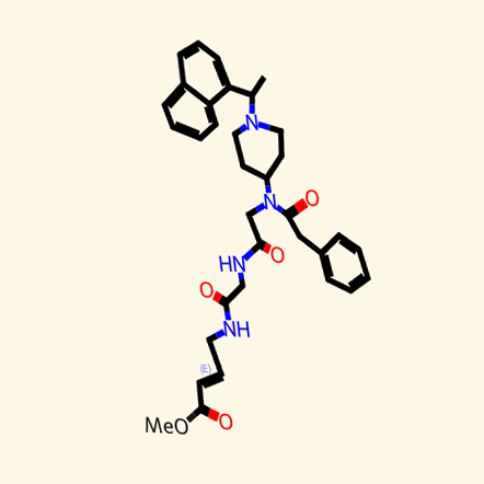 COC(=O)/C=C/CNC(=O)CNC(=O)CN(C(=O)Cc1ccccc1)C1CCN(C(C)c2cccc3ccccc23)CC1